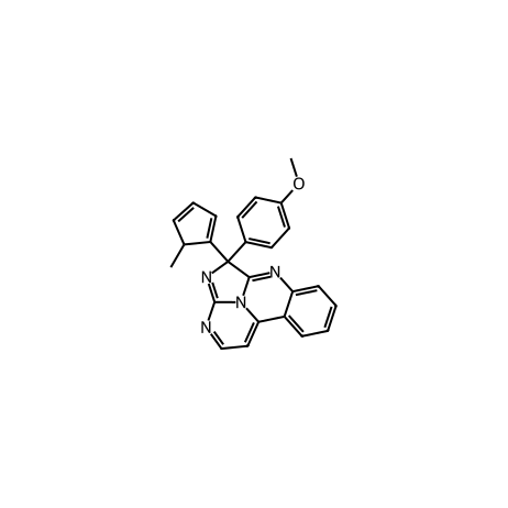 COc1ccc(C2(C3=CC=CC3C)N=C3N=CC=C4c5ccccc5N=C2N43)cc1